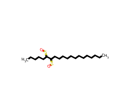 CCCCCCCCCCCCCC(=S=O)C(CCCCC)=S=O